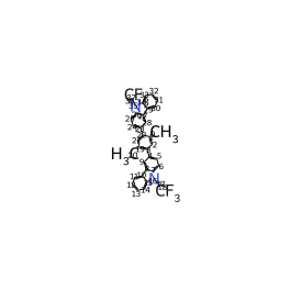 Cc1cc(-c2ccc3c(c2)c2ccccc2n3CC(F)(F)F)c(C)cc1-c1ccc2c(c1)c1ccccc1n2CC(F)(F)F